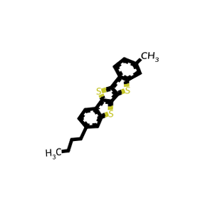 CCCCc1ccc2c(c1)sc1c2sc2c3ccc(C)cc3sc21